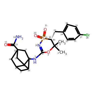 CC1(C)OC(NC23CC4CC2CC(C(N)=O)(C4)C3)=NS(=O)(=O)[C@@H]1Cc1ccc(Br)cc1